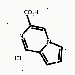 Cl.O=C(O)c1cn2cccc2cn1